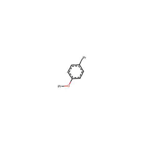 CC(C)Oc1[c]cc(C(C)C)cc1